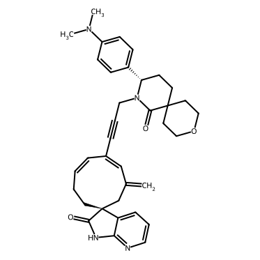 C=C1/C=C(C#CCN2C(=O)C3(CCOCC3)CC[C@H]2c2ccc(N(C)C)cc2)\C=C/CC[C@]2(C1)C(=O)Nc1ncccc12